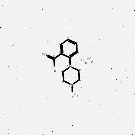 CN1CCN(c2ccccc2C(=O)Cl)CC1.Cl.Cl